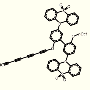 C#CC#CC#CC#COc1ccc(N2c3ccccc3S(=O)(=O)c3ccccc32)cc1-c1cc(N2c3ccccc3S(=O)(=O)c3ccccc32)ccc1OCCCCCCCC